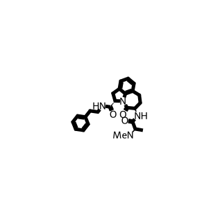 CN[C@@H](C)C(=O)N[C@H]1CCc2cccc3c2N(C1=O)[C@H](C(=O)NCCc1ccccc1)C3